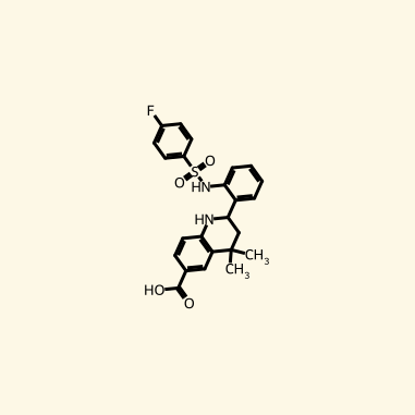 CC1(C)CC(c2ccccc2NS(=O)(=O)c2ccc(F)cc2)Nc2ccc(C(=O)O)cc21